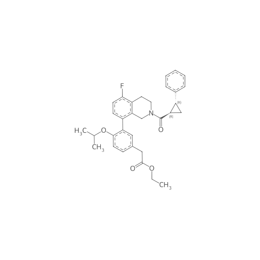 CCOC(=O)Cc1ccc(OC(C)C)c(-c2ccc(F)c3c2CN(C(=O)[C@@H]2C[C@H]2c2ccccc2)CC3)c1